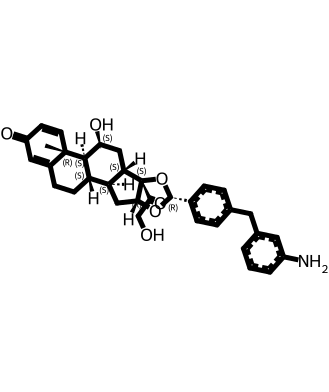 C[C@]12C=CC(=O)C=C1CC[C@H]1[C@@H]3C[C@H]4O[C@@H](c5ccc(Cc6cccc(N)c6)cc5)O[C@@]4(C(=O)CO)[C@H]3C[C@H](O)[C@@H]12